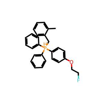 Cc1ccccc1C[PH](c1ccccc1)(c1ccccc1)c1ccc(OCCF)cc1